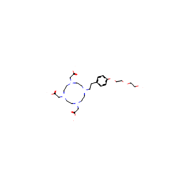 CCOCCOCCOc1ccc(C[C@@H](C(=O)O)N2CCN(CC(=O)OC(C)(C)C)CCN(CC(=O)OC(C)(C)C)CCN(CC(=O)OC(C)(C)C)CC2)cc1